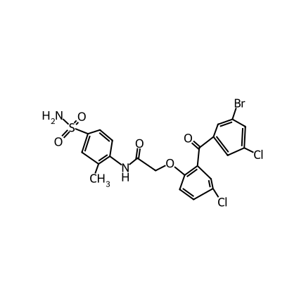 Cc1cc(S(N)(=O)=O)ccc1NC(=O)COc1ccc(Cl)cc1C(=O)c1cc(Cl)cc(Br)c1